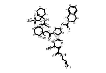 C=CCNC(=O)C(=O)C(CCC)NC(=O)[C@@H]1C[C@@H](OC(=O)N2CCc3ccccc3C2)CN1C(=O)[C@@H](NC(=O)NC1(CS(=O)(=O)C(C)(C)C)CCCCC1)C1(C)CCCCC1